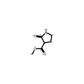 COC(=O)C1CCNC1=O